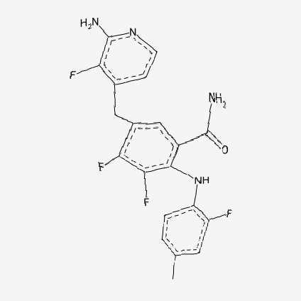 Cc1ccc(Nc2c(C(N)=O)cc(Cc3ccnc(N)c3F)c(F)c2F)c(F)c1